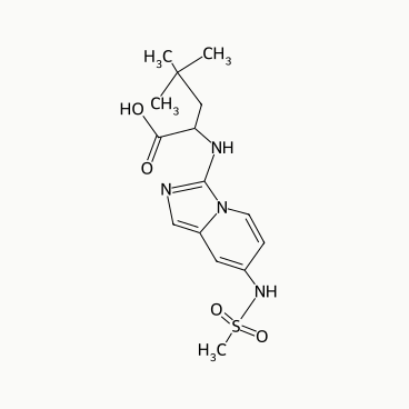 CC(C)(C)CC(Nc1ncc2cc(NS(C)(=O)=O)ccn12)C(=O)O